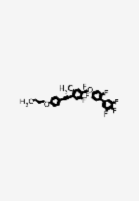 CCCCOc1ccc(C#Cc2cc(F)c(C(F)(F)Oc3ccc(-c4cc(F)c(F)c(F)c4)c(F)c3)cc2C)cc1